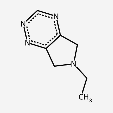 CCN1Cc2ncnnc2C1